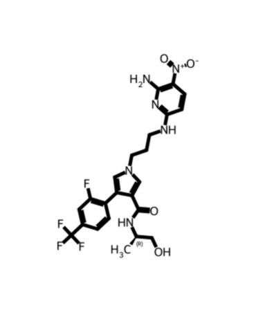 C[C@H](CO)NC(=O)c1cn(CCCNc2ccc([N+](=O)[O-])c(N)n2)cc1-c1ccc(C(F)(F)F)cc1F